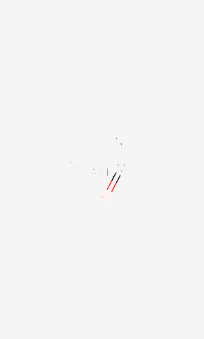 [AlH3].[Co].[Ni].[O]=[Mn]